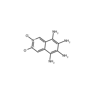 Nc1c(N)c(N)c2c[n+]([O-])[n+]([O-])cc2c1N